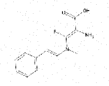 CN(C=Cc1ccccc1)C(F)=C(N)C(=O)O